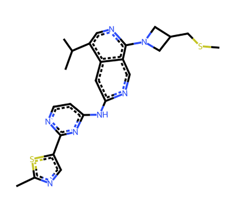 CSCC1CN(c2ncc(C(C)C)c3cc(Nc4ccnc(-c5cnc(C)s5)n4)ncc23)C1